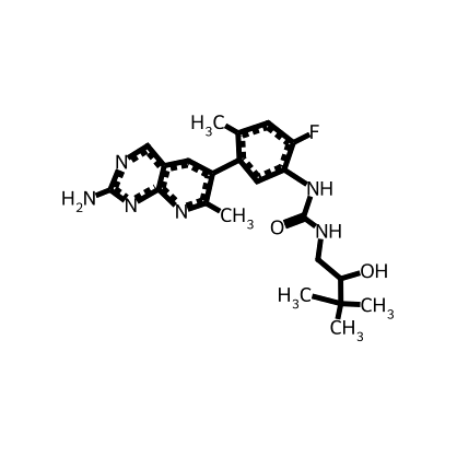 Cc1cc(F)c(NC(=O)NCC(O)C(C)(C)C)cc1-c1cc2cnc(N)nc2nc1C